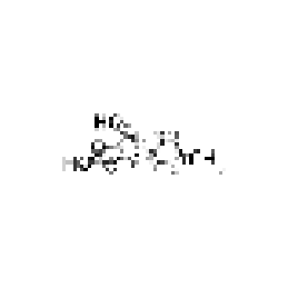 Cc1ccc(-c2cc(O)c3c(c2)OC(O)O3)cc1